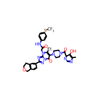 CCc1c(N2CCN(C(=O)c3ncnc(C)c3O)CC2)c(=O)n2nc(-c3ccc4c(c3)CCOC4)nc2n1CC(=O)Nc1ccc(SC(F)(F)F)cc1